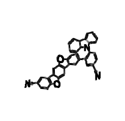 N#Cc1ccc(N2c3ccccc3C3C=CC=CC32)c(-c2ccc3oc4cc5c(cc4c3c2)oc2ccc(C#N)cc25)c1